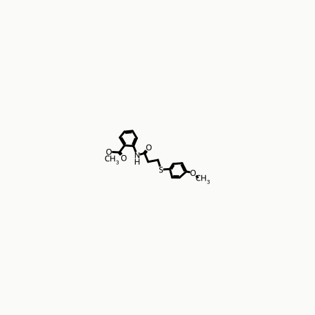 COC(=O)c1ccccc1NC(=O)CCSc1ccc(OC)cc1